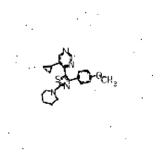 COc1ccc(-c2nc(N3CCCCC3)sc2-c2n[c]ncc2C2CC2)cc1